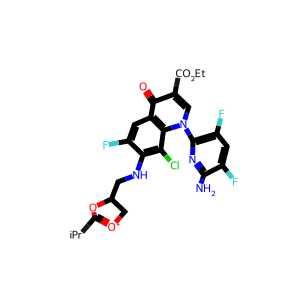 CCOC(=O)c1cn(-c2nc(N)c(F)cc2F)c2c(Cl)c(NCC3C[O+]=C(C(C)C)O3)c(F)cc2c1=O